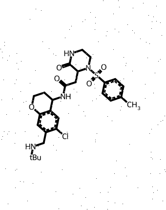 Cc1ccc(S(=O)(=O)N2CCNC(=O)C2CC(=O)NC2CCOc3cc(CNC(C)(C)C)c(Cl)cc32)cc1